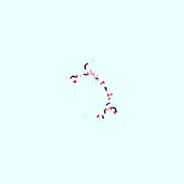 CC[C@H](CCOC[C@H](COP(=O)(O)OCCNC(=O)NCCOP(=O)(O)OC[C@@H](COCC[C@@H](CC)OC(C)=O)NC(=O)CC(C)=O)NC(=O)CC(C)=O)OC(C)=O